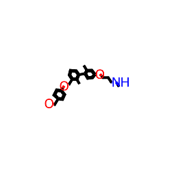 CNCCCOc1ccc(-c2cccc(COc3ccc(C=O)cc3)c2C)c(C)c1